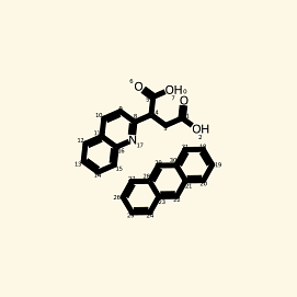 O=C(O)CC(C(=O)O)c1ccc2ccccc2n1.c1ccc2cc3ccccc3cc2c1